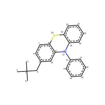 CC(C)(C)Cc1ccc2c(c1)N(c1ccccc1)c1ccccc1S2